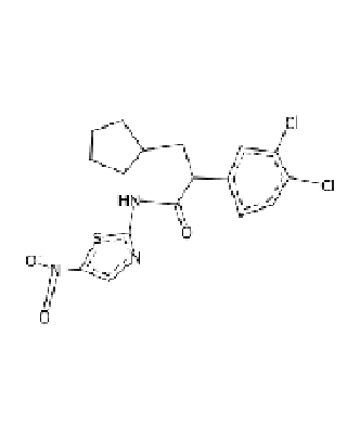 O=C(Nc1ncc([N+](=O)[O-])s1)C(CC1CCCC1)c1ccc(Cl)c(Cl)c1